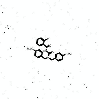 COc1ccc(CN(Cc2ccc(OC)cc2)C(=S)NC(=O)c2ccccc2Cl)cc1